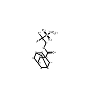 O=C(OCC(F)(F)S(=O)(=O)S(=O)(=O)O)C12CC3CC(CC(C3)C1)C2